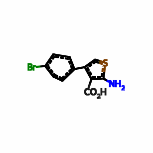 Nc1scc(-c2ccc(Br)cc2)c1C(=O)O